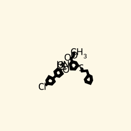 COC(=O)c1cc(SCCc2ccccc2)ccc1NS(=O)(=O)c1ccc(-c2ccc(Cl)cc2)cc1